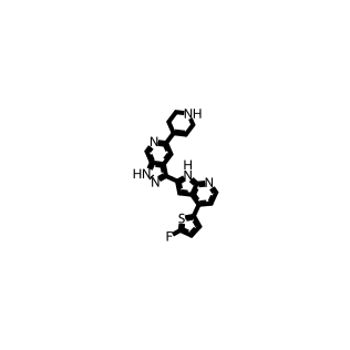 Fc1ccc(-c2ccnc3[nH]c(-c4n[nH]c5cnc(C6=CCNCC6)cc45)cc23)s1